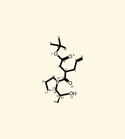 C=CCC(CC(=O)OC(C)(C)C)C(=O)N1CCC[C@H]1[C@H](C)O